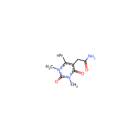 CCCc1c(CC(N)=O)c(=O)n(C)c(=O)n1C